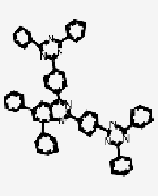 c1ccc(-c2cc(-c3ccccc3)c3nc(-c4ccc(-c5nc(-c6ccccc6)nc(-c6ccccc6)n5)cc4)nc(-c4ccc(-c5nc(-c6ccccc6)nc(-c6ccccc6)n5)cc4)c3c2)cc1